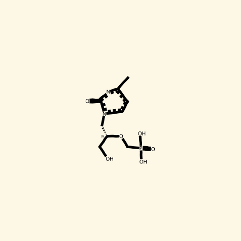 Cc1ccn(C[C@@H](CO)OCP(=O)(O)O)c(=O)n1